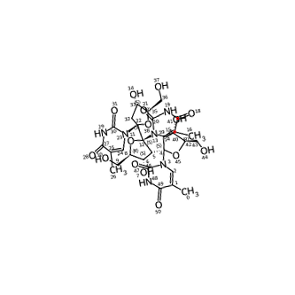 Cc1cn([C@@]2(C3[C@H](O)[C@@H](CO)O[C@]3(n3cc(C)c(=O)[nH]c3=O)[C@]3(n4cc(C)c(=O)[nH]c4=O)C[C@H](O)[C@@H](CO)O3)C[C@H](O)[C@@H](CO)O2)c(=O)[nH]c1=O